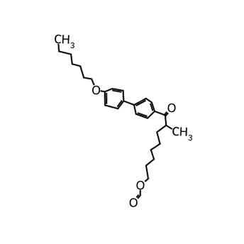 CCCCCCCOc1ccc(-c2ccc(C(=O)C(C)CCCCCCOC=O)cc2)cc1